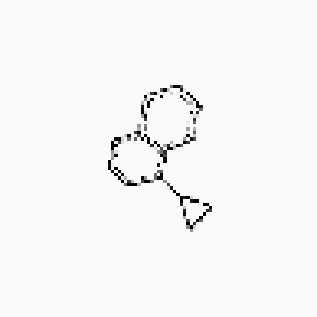 c1cc(C2CC2)c2cnccc2c1